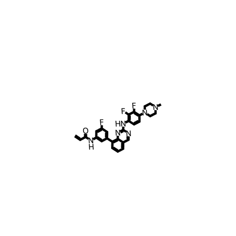 C=CC(=O)Nc1cc(F)cc(-c2cccc3cnc(Nc4ccc(N5CCN(C)CC5)c(F)c4F)nc23)c1